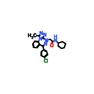 Cc1nnc2n1-c1ccccc1C(c1ccc(Cl)cc1)=NN2CC(=O)NC1CCCCC1